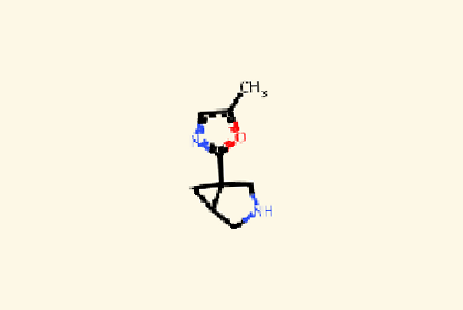 Cc1cnc(C23CNCC2C3)o1